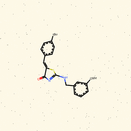 COc1cccc(CNC2=NC(=O)C(=Cc3ccc(C(C)(C)C)cc3)S2)c1